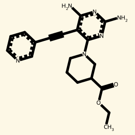 CCOC(=O)C1CCCN(c2nc(N)nc(N)c2C#Cc2cccnc2)C1